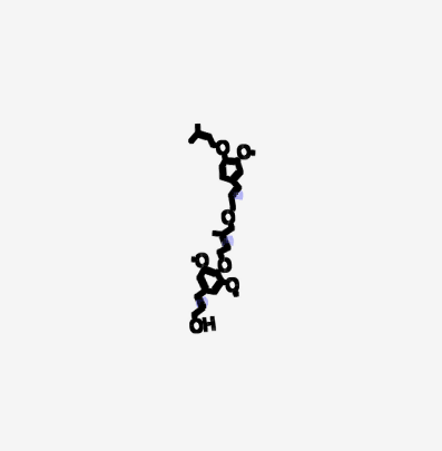 COc1cc(/C=C/COC/C(C)=C/COc2c(OC)cc(/C=C/CO)cc2OC)ccc1OCC=C(C)C